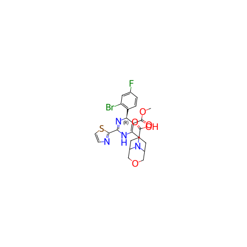 COC(=O)C1=C(CN2C3COCC2CC(C(=O)O)C3)NC(c2nccs2)=N[C@H]1c1ccc(F)cc1Br